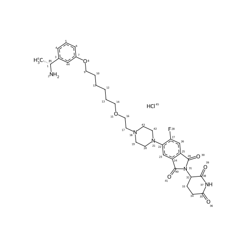 C[C@@H](N)c1cccc(OCCCCCCOCCN2CCN(c3cc4c(cc3F)C(=O)N(C3CCC(=O)NC3=O)C4=O)CC2)c1.Cl